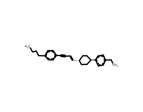 CCCCc1ccc(C#C/C=C/[C@H]2CC[C@H](c3ccc(CC)cc3)CC2)cc1